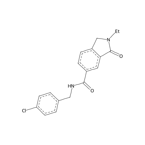 CCN1Cc2ccc(C(=O)NCc3ccc(Cl)cc3)cc2C1=O